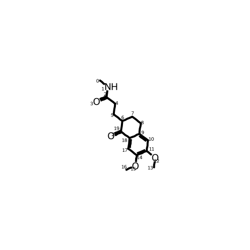 CNC(=O)CCC1CCc2cc(OC)c(OC)cc2C1=O